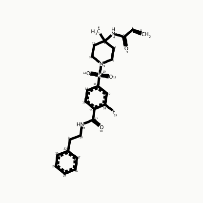 C=CC(=O)NC1(C)CCN(S(=O)(=O)c2ccc(C(=O)NCCc3ccccc3)c(F)c2)CC1